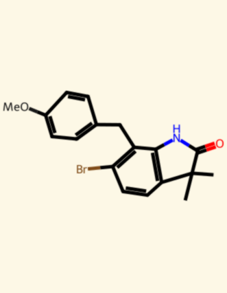 COc1ccc(Cc2c(Br)ccc3c2NC(=O)C3(C)C)cc1